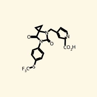 O=C(O)c1cc(CN2C(=O)N(c3ccc(SC(F)(F)F)cc3)C(=O)C23CC3)ccn1